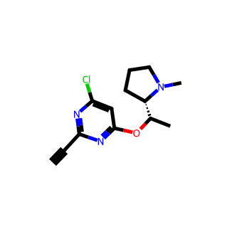 C#Cc1nc(Cl)cc(OC(C)[C@@H]2CCCN2C)n1